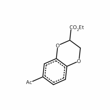 CCOC(=O)C1COc2ccc(C(C)=O)cc2O1